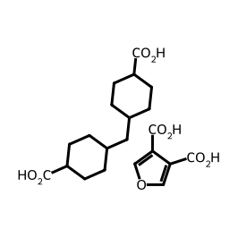 O=C(O)C1CCC(CC2CCC(C(=O)O)CC2)CC1.O=C(O)c1cocc1C(=O)O